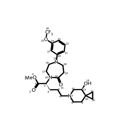 COC(=O)[C@@H](CCCN1CCC2(CC2)[C@H](O)C1)N1CCN(c2cccc(OC(F)(F)F)c2)CCC1=O